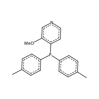 COc1cnccc1P(c1ccc(C)cc1)c1ccc(C)cc1